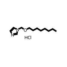 CCCCCCCCOCn1ccnc1.Cl